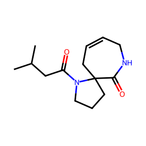 CC(C)CC(=O)N1CCCC12CC=CCNC2=O